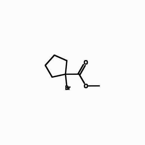 COC(=O)C1(Br)CCCC1